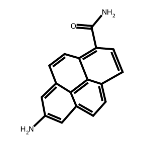 NC(=O)c1ccc2ccc3cc(N)cc4ccc1c2c34